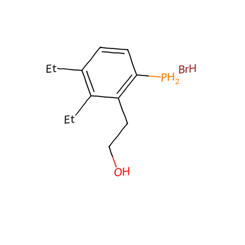 Br.CCc1ccc(P)c(CCO)c1CC